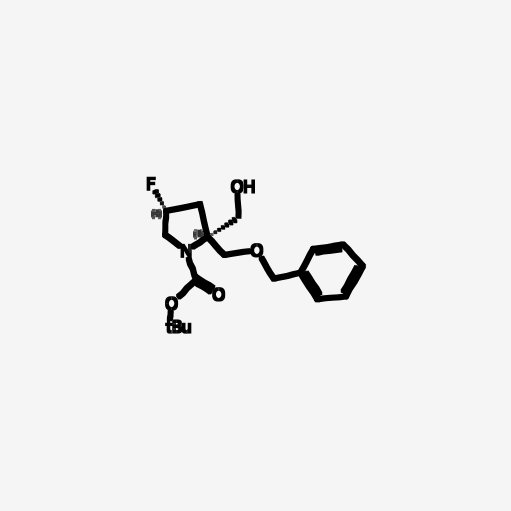 CC(C)(C)OC(=O)N1C[C@H](F)C[C@@]1(CO)COCc1ccccc1